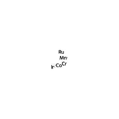 [Co].[Cr].[Ir].[Mn].[Ru]